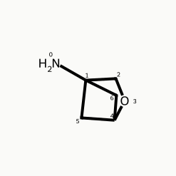 NC12COC(C1)C2